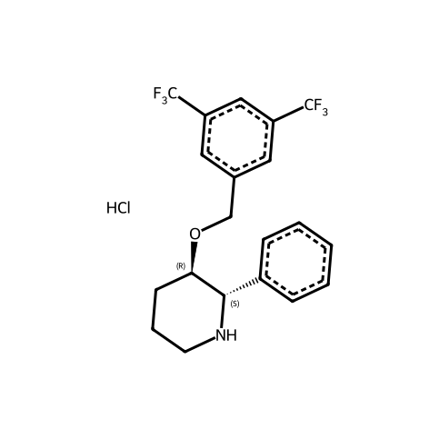 Cl.FC(F)(F)c1cc(CO[C@@H]2CCCN[C@H]2c2ccccc2)cc(C(F)(F)F)c1